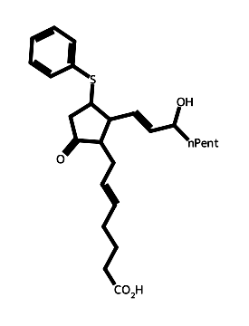 CCCCCC(O)C=CC1C(Sc2ccccc2)CC(=O)C1CC=CCCCC(=O)O